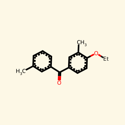 CCOc1ccc(C(=O)c2cccc(C)c2)cc1C